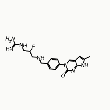 Cc1cc2cn(-c3ccc(CNC[C@H](F)CNC(=N)N)cc3)c(=O)nc2[nH]1